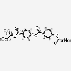 CCCCCCCCCC(=O)Oc1ccc(C(=O)Oc2ccc(C(=O)OC(CCCCCCCC)C(F)(F)F)cc2)cc1